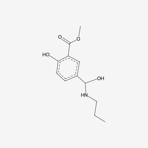 CCCNC(O)c1ccc(O)c(C(=O)OC)c1